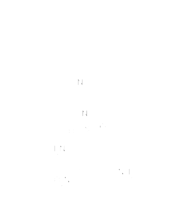 Nc1cc([N+](=O)[O-])c(N)c(S(=O)(=O)N2CCN(Cc3ccccc3)CC2)c1